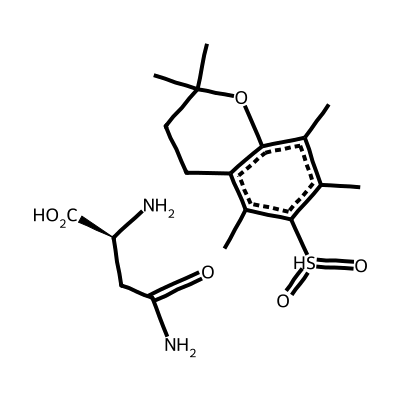 Cc1c(C)c([SH](=O)=O)c(C)c2c1OC(C)(C)CC2.NC(=O)C[C@H](N)C(=O)O